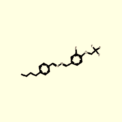 CCCCc1ccc(/C=N/N=C/c2ccc(OCC(F)(F)F)c(F)c2)cc1